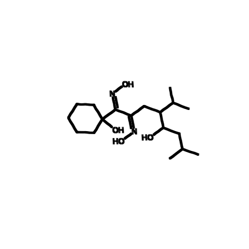 CC(C)CC(O)C(CC(=NO)C(=NO)C1(O)CCCCC1)C(C)C